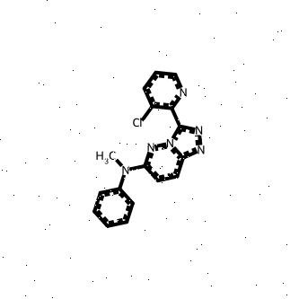 CN(c1ccccc1)c1ccc2nnc(-c3ncccc3Cl)n2n1